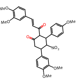 COc1ccc(C2C(C(=O)C=Cc3ccc(OC)c(OC)c3)C(=O)CC(c3ccc(OC)c(OC)c3)C2[N+](=O)[O-])cc1